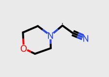 N#C[CH]N1CCOCC1